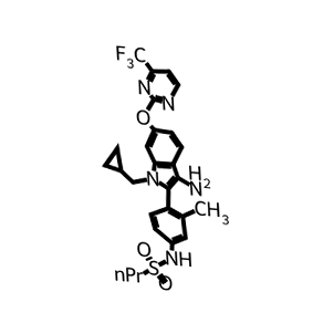 CCCS(=O)(=O)Nc1ccc(-c2c(N)c3ccc(Oc4nccc(C(F)(F)F)n4)cc3n2CC2CC2)c(C)c1